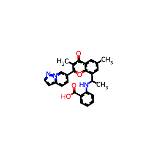 Cc1cc(C(C)Nc2ccccc2C(=O)O)c2oc(-c3ccc4ccnn4c3)c(C)c(=O)c2c1